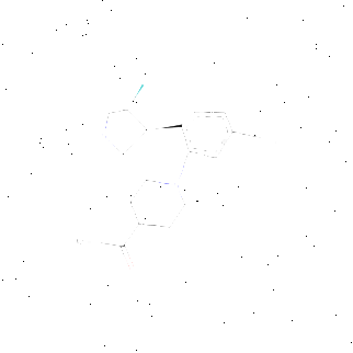 COC(=O)C1CCN(c2cc(C(F)(F)F)ccc2[C@H]2CNC[C@H]2F)CC1